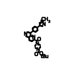 Cn1cc(-c2ccc(-c3cncc4ccc(C(=O)N5CCN(C(=O)OC(C)(C)C)CC5)nc34)cc2)cn1